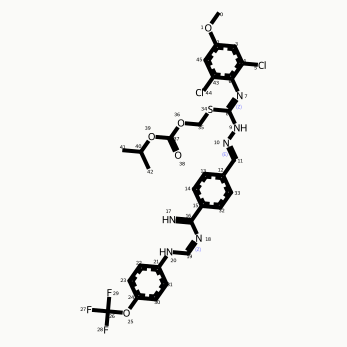 COc1cc(Cl)c(/N=C(/N/N=C/c2ccc(C(=N)/N=C\Nc3ccc(OC(F)(F)F)cc3)cc2)SCOC(=O)OC(C)C)c(Cl)c1